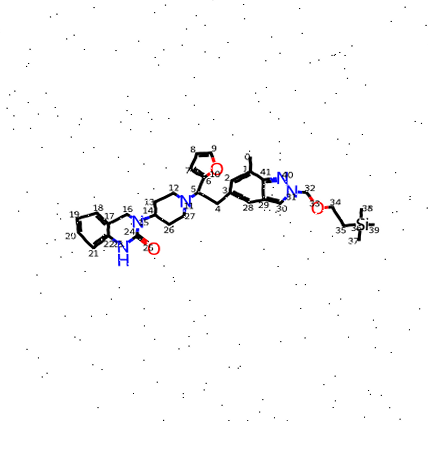 Cc1cc(CC(c2ccco2)N2CCC(N3Cc4ccccc4NC3=O)CC2)cc2cn(COCC[Si](C)(C)C)nc12